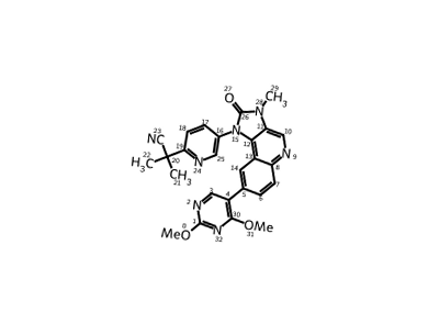 COc1ncc(-c2ccc3ncc4c(c3c2)n(-c2ccc(C(C)(C)C#N)nc2)c(=O)n4C)c(OC)n1